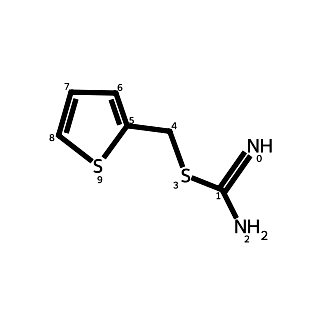 N=C(N)SCc1cccs1